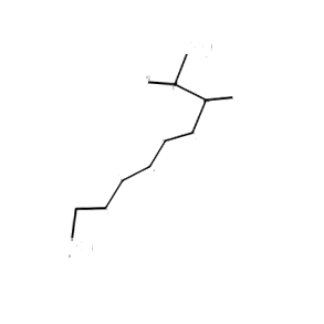 CC(CCCCCCC(=O)O)C(C)C(=O)O